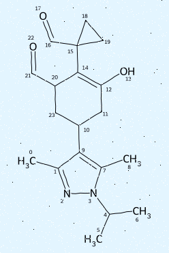 Cc1nn(C(C)C)c(C)c1C1CC(O)=C(C2(C=O)CC2)C(C=O)C1